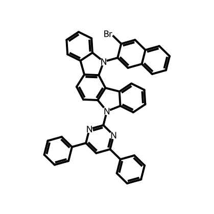 Brc1cc2ccccc2cc1-n1c2ccccc2c2ccc3c(c4ccccc4n3-c3nc(-c4ccccc4)cc(-c4ccccc4)n3)c21